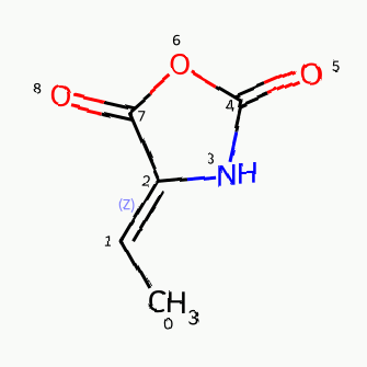 C/C=C1\NC(=O)OC1=O